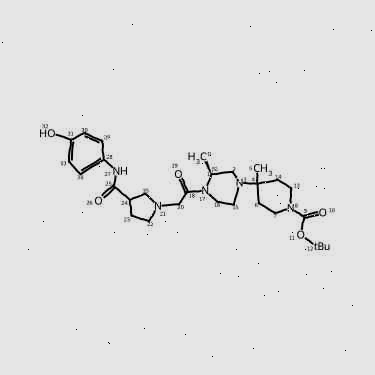 C[C@H]1CN(C2(C)CCN(C(=O)OC(C)(C)C)CC2)CCN1C(=O)CN1CCC(C(=O)Nc2ccc(O)cc2)C1